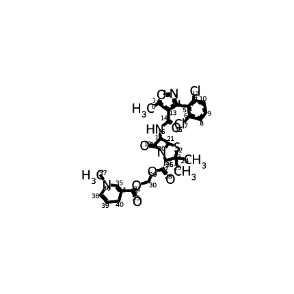 Cc1onc(-c2c(Cl)cccc2Cl)c1C(=O)NC1C(=O)N2C1SC(C)(C)[C@@H]2C(=O)OCOC(=O)C1=CN(C)C=CC1